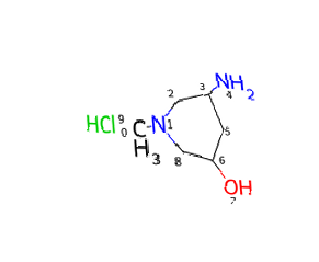 CN1CC(N)CC(O)C1.Cl